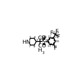 CC(C)(C1CCNCC1)S(=O)(=O)c1cc(F)cc(C(F)(F)F)c1